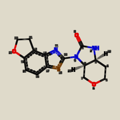 O=C1N[C@H]2CCOC[C@H]2N1c1nc2c3c(ccc2s1)OCC3